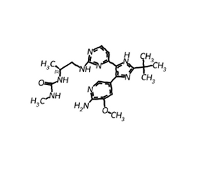 CNC(=O)N[C@@H](C)CNc1nccc(-c2[nH]c(C(C)(C)C)nc2-c2cnc(N)c(OC)c2)n1